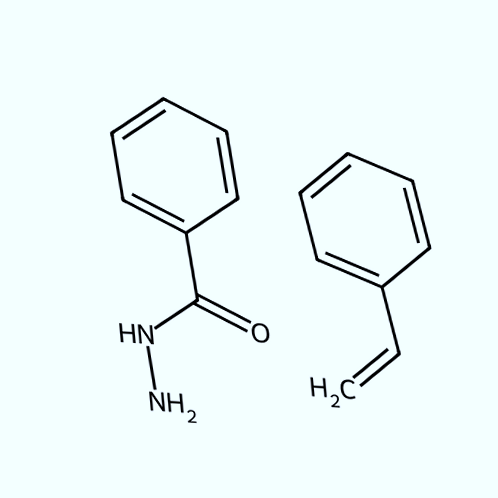 C=Cc1ccccc1.NNC(=O)c1ccccc1